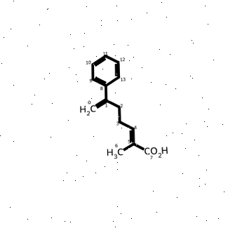 C=C(CCC=C(C)C(=O)O)c1ccccc1